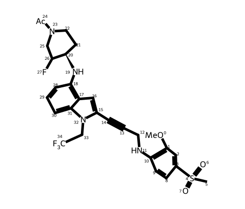 COc1cc(S(C)(=O)=O)ccc1NCC#Cc1cc2c(N[C@@H]3CCN(C(C)=O)CC3F)cccc2n1CC(F)(F)F